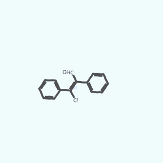 O=C/C(=C(/Cl)c1ccccc1)c1ccccc1